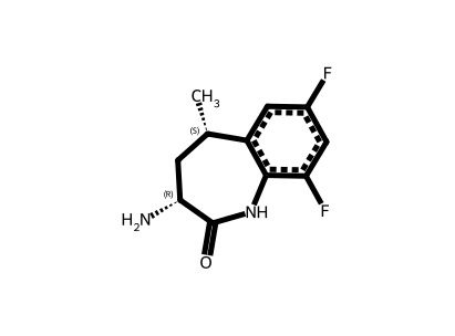 C[C@H]1C[C@@H](N)C(=O)Nc2c(F)cc(F)cc21